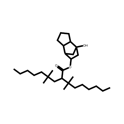 CCCCCCC(C)(C)C(CC(C)(C)CCCCC)C(=O)OC1CC2(O)CC1C1CCCC12